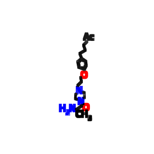 CC(=O)CCCCc1ccc(OCCCN2CCN(C(=O)[C@@H](C)N)CC2)cc1